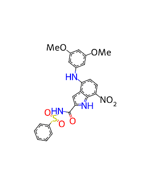 COc1cc(Nc2ccc([N+](=O)[O-])c3[nH]c(C(=O)NS(=O)(=O)c4ccccc4)cc23)cc(OC)c1